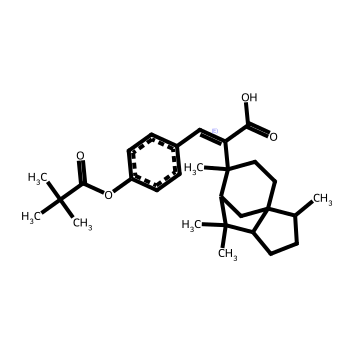 CC1CCC2C(C)(C)C3CC12CCC3(C)/C(=C\c1ccc(OC(=O)C(C)(C)C)cc1)C(=O)O